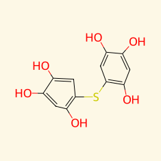 Oc1cc(O)c(Sc2cc(O)c(O)cc2O)cc1O